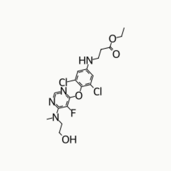 CCOC(=O)CCNc1cc(Cl)c(Oc2ncnc(N(C)CCO)c2F)c(Cl)c1